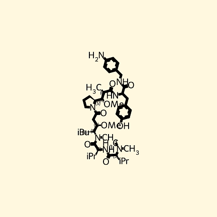 CC[C@H](C)[C@@H]([C@@H](CC(=O)N1CCC[C@H]1[C@H](OC)[C@@H](C)C(=O)NC(Cc1ccc(O)cc1)C(=O)NCc1ccc(N)cc1)OC)N(C)C(=O)[C@@H](NC(=O)[C@H](C(C)C)N(C)C)C(C)C